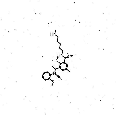 C=C=C(NCCCCCNC)c1cc(C)cc(C(C)N(C#N)c2ccccc2SC)c1N=C